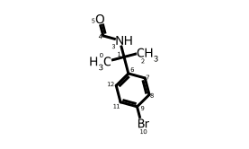 CC(C)(NC=O)c1ccc(Br)cc1